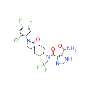 NC(=O)c1[nH]cnc1C(=O)N(CC(F)(F)F)[C@H]1CC[C@@]2(CCN(c3cc(F)c(F)cc3Cl)C2=O)CC1